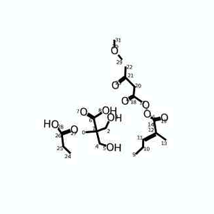 CC(CO)(CO)C(=O)O.CC/C=C(\C)C(=O)OOC(=O)CC(C)=O.CCC(=O)O.COC